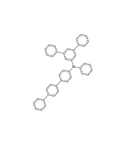 c1ccc(-c2ccc(-c3ccc(N(c4ccccc4)c4cc(-c5ccccc5)cc(-c5ccccc5)c4)cc3)cc2)cc1